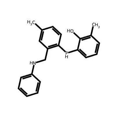 Cc1ccc(Pc2cccc(C)c2O)c(CNc2ccccc2)c1